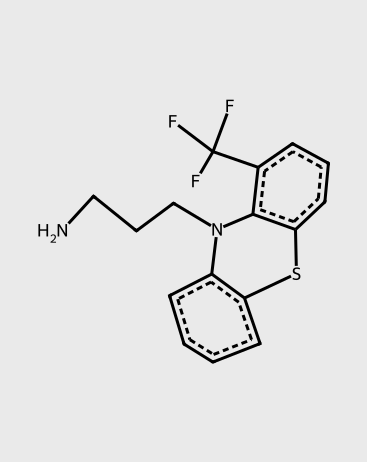 NCCCN1c2ccccc2Sc2cccc(C(F)(F)F)c21